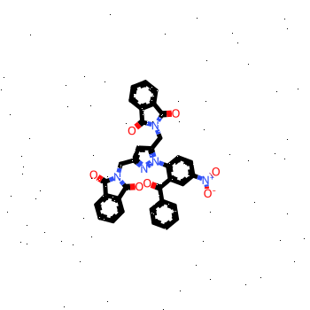 O=C(c1ccccc1)c1cc([N+](=O)[O-])ccc1-n1nc(CN2C(=O)c3ccccc3C2=O)cc1CN1C(=O)c2ccccc2C1=O